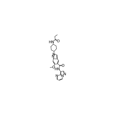 CCC(=O)NC1CCC(n2cc3cc(C(=O)Nc4cnn5cccnc45)c(OC)cc3n2)CC1